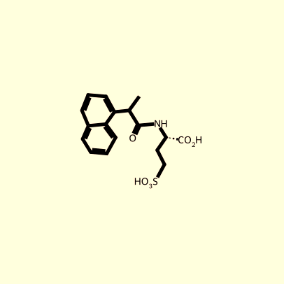 CC(C(=O)N[C@@H](CCS(=O)(=O)O)C(=O)O)c1cccc2ccccc12